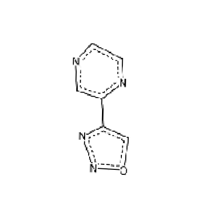 c1cnc(-c2conn2)cn1